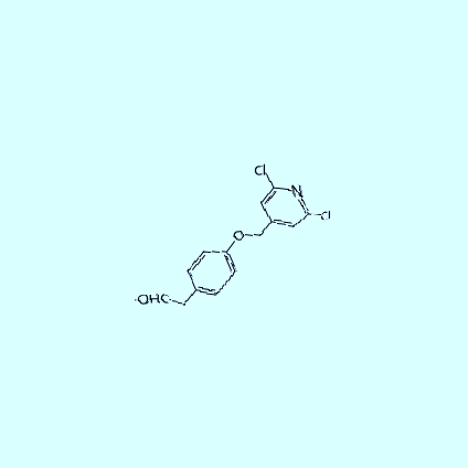 O=[C]Cc1ccc(OCc2cc(Cl)nc(Cl)c2)cc1